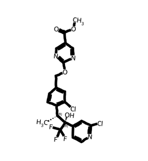 COC(=O)c1cnc(OCc2ccc([C@@H](C)[C@@](O)(c3ccnc(Cl)c3)C(F)(F)F)c(Cl)c2)nc1